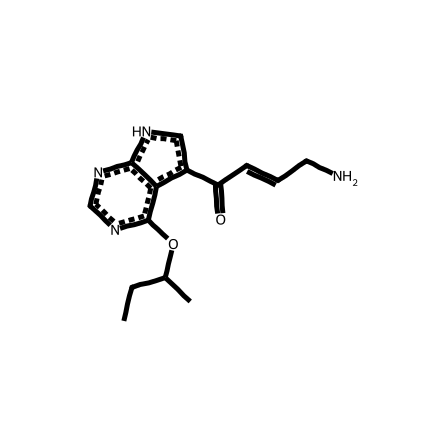 CCC(C)Oc1ncnc2[nH]cc(C(=O)/C=C/CN)c12